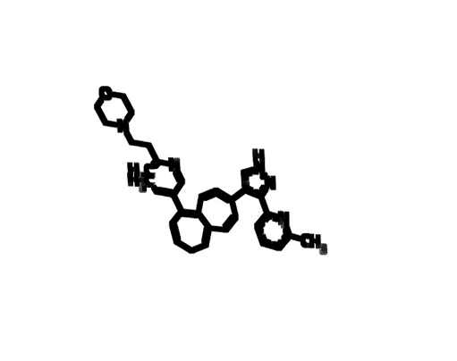 C=C(CCN1CCOCC1)/N=C\C(=C/C)C1=C2C=C=C(c3c[nH]nc3-c3cccc(C)n3)C=CC2=CCC=C1